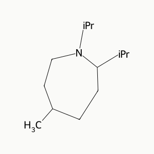 CC1CCC(C(C)C)N(C(C)C)CC1